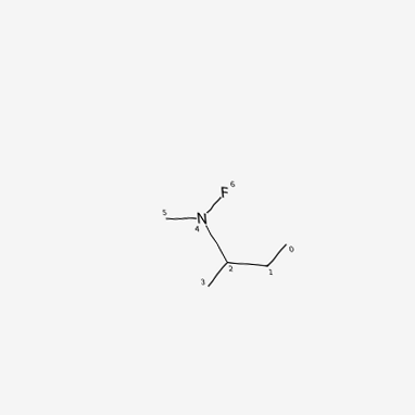 CCC(C)N(C)F